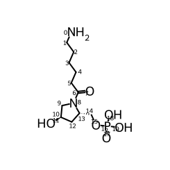 NCCCCCC(=O)N1C[C@H](O)C[C@H]1COP(=O)(O)O